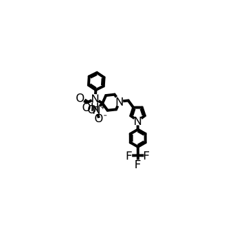 O=C(O)N(c1ccccc1)C1([N+](=O)[O-])CCN(Cc2ccn(-c3ccc(C(F)(F)F)cc3)c2)CC1